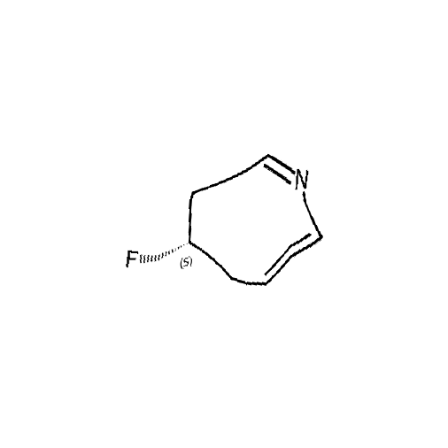 F[C@H]1CC=CN=CC1